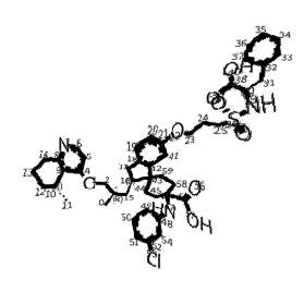 C[C@@H](COc1ccnc2c1[C@H](C)CCC2)C[C@H]1Cc2ccc(OCCCS(=O)(=O)N[C@H](Cc3ccccc3)C(=O)O)cc2C12CCC(Nc1cccc(Cl)c1)(C(=O)O)CC2